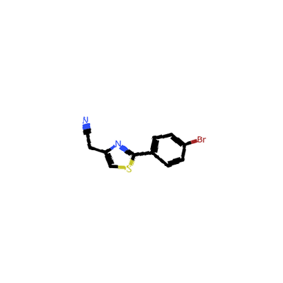 N#CCc1csc(-c2ccc(Br)cc2)n1